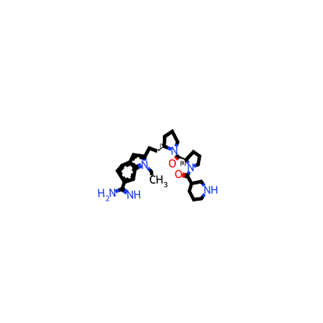 CCn1c(CC[C@@H]2CCCN2C(=O)[C@H]2CCCN2C(=O)C2CCCNC2)cc2ccc(C(=N)N)cc21